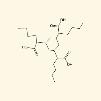 CCCCC(C(=O)O)C1[CH]C(C(CCCC)C(=O)O)CC(C(CCCC)C(=O)O)C1